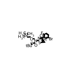 CC(C)(C)OC(=O)N(COCC[Si](C)(C)C)C1=N[C@](C)(c2cc(Br)ccc2F)[C@@H]2C[C@]2(C(F)F)S1